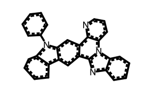 c1ccc(-n2c3ccccc3c3cc4c(cc32)c2ncccc2n2c3ccccc3nc42)cc1